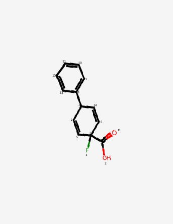 O=C(O)C1(F)C=CC(c2ccccc2)C=C1